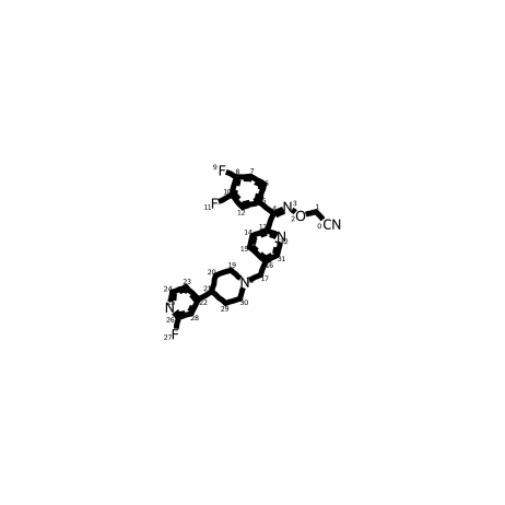 N#CCON=C(c1ccc(F)c(F)c1)c1ccc(CN2CCC(c3ccnc(F)c3)CC2)cn1